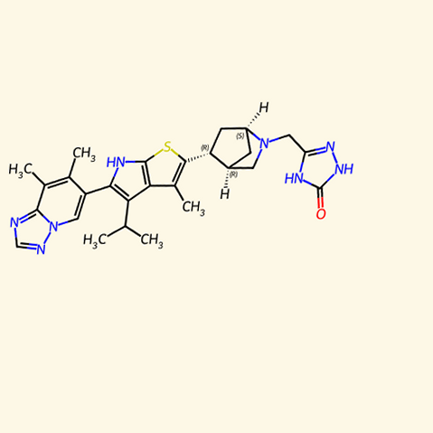 Cc1c(-c2[nH]c3sc([C@@H]4C[C@@H]5C[C@H]4CN5Cc4n[nH]c(=O)[nH]4)c(C)c3c2C(C)C)cn2ncnc2c1C